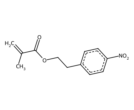 C=C(C)C(=O)OCCc1ccc([N+](=O)[O-])cc1